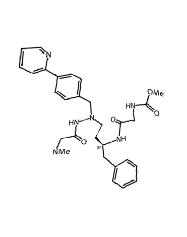 CNCC(=O)NN(CC[C@H](Cc1ccccc1)NC(=O)CNC(=O)OC)Cc1ccc(-c2ccccn2)cc1